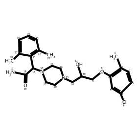 Cc1ccc(Cl)cc1OCC(O)CN1CCN(C(C(N)=O)c2c(C)cccc2C)CC1